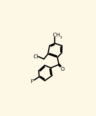 Cc1ccc(C(=O)c2ccc(F)cc2)c(CCl)c1